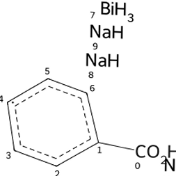 O=C(O)c1cc[c]cc1.[BiH3].[NaH].[NaH].[NaH]